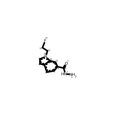 NNC(=O)c1ccc2ccn(CCF)c2c1